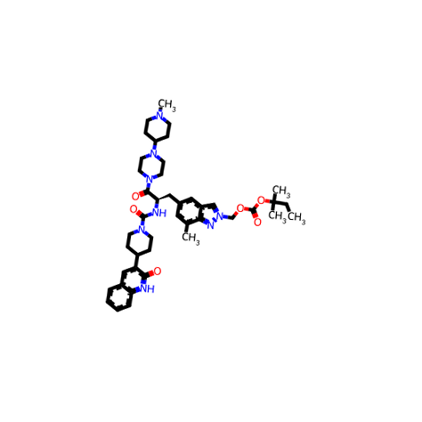 CCC(C)(C)OC(=O)OCn1cc2cc(C[C@@H](NC(=O)N3CCC(c4cc5ccccc5[nH]c4=O)CC3)C(=O)N3CCN(C4CCN(C)CC4)CC3)cc(C)c2n1